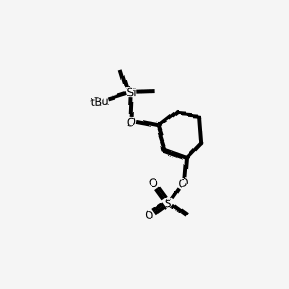 CC(C)(C)[Si](C)(C)OC1CCCC(OS(C)(=O)=O)C1